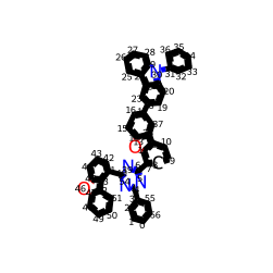 c1ccc(-c2nc(-c3cccc4c3oc3ccc(-c5ccc6c(c5)c5ccccc5n6-c5ccccc5)cc34)nc(-c3cccc4oc5ccccc5c34)n2)cc1